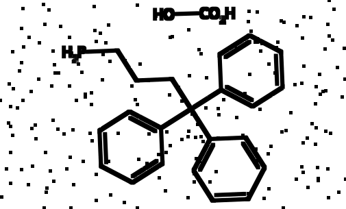 O=C(O)O.PCCCC(c1ccccc1)(c1ccccc1)c1ccccc1